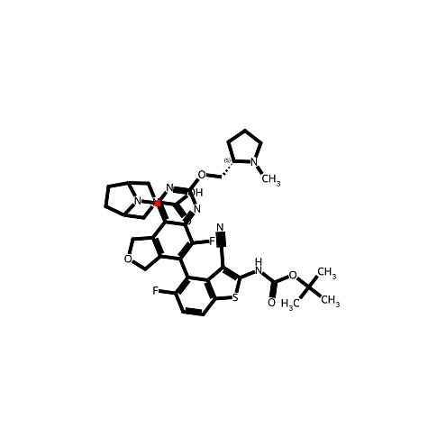 CN1CCC[C@H]1COc1nc(N2C3CCC2CN(C(=O)O)C3)c2c3c(c(-c4c(F)ccc5sc(NC(=O)OC(C)(C)C)c(C#N)c45)c(F)c2n1)COC3